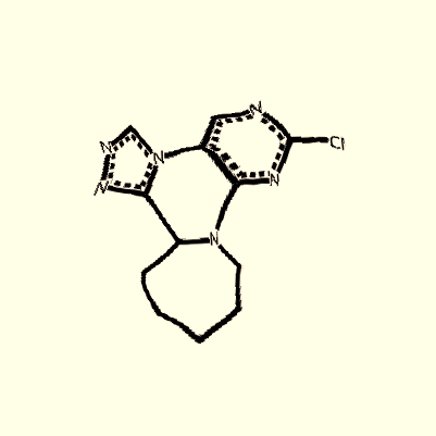 Clc1ncc2c(n1)N1CCCCCC1c1nncn1-2